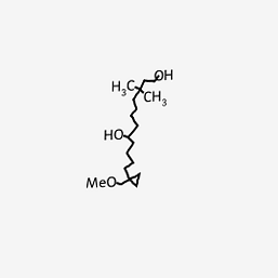 COCC1(CCCCC(O)CCCCC(C)(C)CCO)CC1